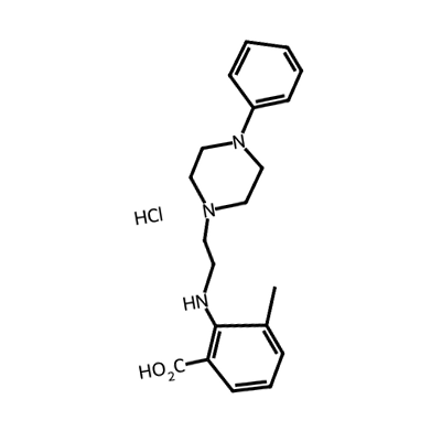 Cc1cccc(C(=O)O)c1NCCN1CCN(c2ccccc2)CC1.Cl